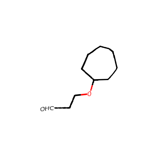 O=CCCOC1CCCCCC1